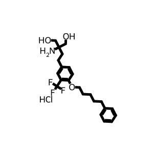 Cl.NC(CO)(CO)CCc1ccc(OCCCCCc2ccccc2)c(C(F)(F)F)c1